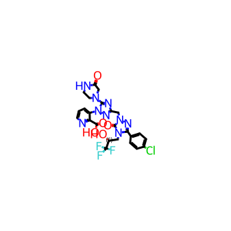 O=C1CN(c2nc(Cn3nc(-c4ccc(Cl)cc4)n(C[C@H](O)C(F)(F)F)c3=O)nn2-c2cccnc2C(=O)O)CCN1